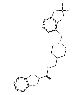 CC1(C)Cc2cccc(CN3CCC(CNC(=O)C4Nc5ccccc5S4)CC3)c2O1